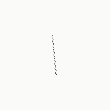 [CH]=CCCCCCCCCCCCCCCCC[CH2]